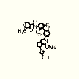 COc1nc(-c2ccc(F)c(-c3c(F)ccc(NC(=O)c4ccnn(C)c4=O)c3Cl)c2Cl)cc2c1C(N1CC(O)C1)CC2